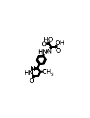 CC1CC(=O)NN=C1c1ccc(NN=C(C(=O)O)C(=O)O)cc1